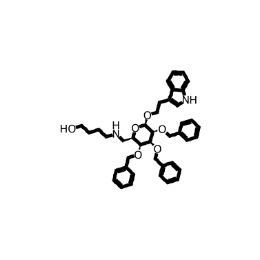 OCCCCNC[C@H]1O[C@@H](OCCc2c[nH]c3ccccc23)[C@H](OCc2ccccc2)[C@@H](OCc2ccccc2)[C@@H]1OCc1ccccc1